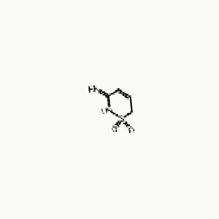 N=C1C=CCS(=O)(=O)N1